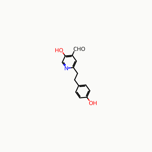 O=Cc1cc(CCc2ccc(O)cc2)ncc1O